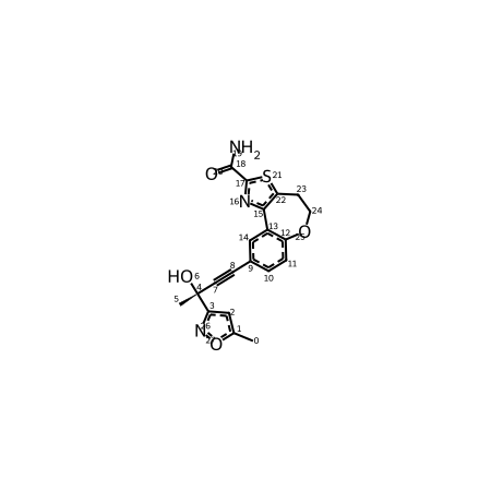 Cc1cc([C@](C)(O)C#Cc2ccc3c(c2)-c2nc(C(N)=O)sc2CCO3)no1